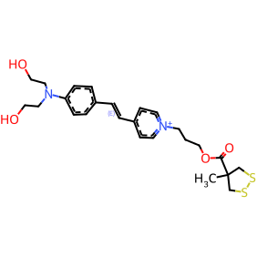 CC1(C(=O)OCCC[n+]2ccc(/C=C/c3ccc(N(CCO)CCO)cc3)cc2)CSSC1